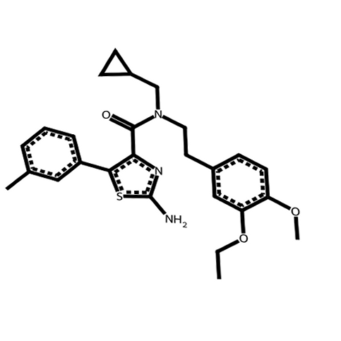 CCOc1cc(CCN(CC2CC2)C(=O)c2nc(N)sc2-c2cccc(C)c2)ccc1OC